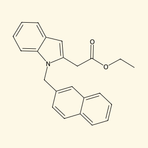 CCOC(=O)Cc1cc2ccccc2n1Cc1ccc2ccccc2c1